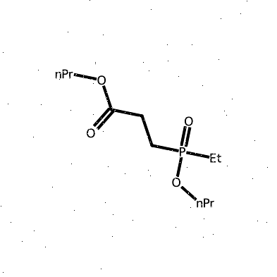 CCCOC(=O)CCP(=O)(CC)OCCC